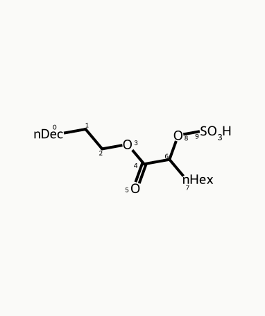 CCCCCCCCCCCCOC(=O)C(CCCCCC)OS(=O)(=O)O